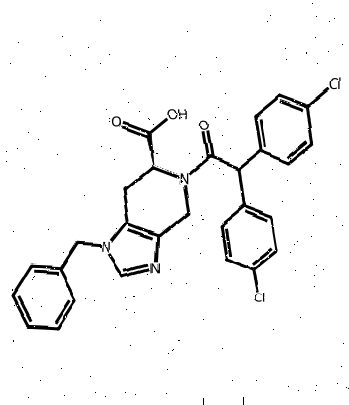 O=C(O)[C@@H]1Cc2c(ncn2Cc2ccccc2)CN1C(=O)C(c1ccc(Cl)cc1)c1ccc(Cl)cc1